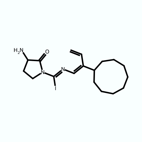 C=C/C(=C\N=C(/I)N1CCC(N)C1=O)C1CCCCCCCC1